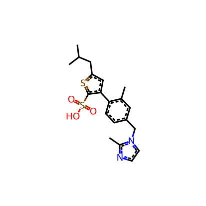 Cc1cc(Cn2ccnc2C)ccc1-c1cc(CC(C)C)sc1S(=O)(=O)O